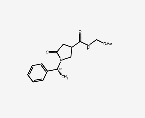 COCNC(=O)C1CC(=O)N([C@@H](C)c2ccccc2)C1